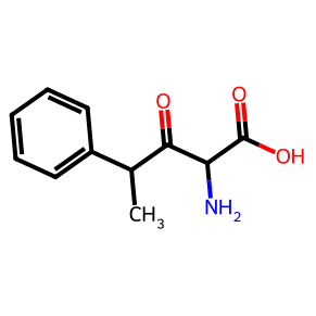 CC(C(=O)C(N)C(=O)O)c1ccccc1